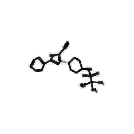 CC(C)(C)S(=O)(=O)N[C@H]1CC[C@H](c2cc(-c3ccccc3)[nH]c2C#N)CC1